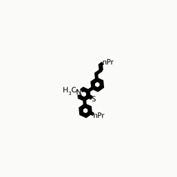 CCCC=CCc1cccc(-c2cn(C)cc(-c3cccc(CCC)c3)c2=S)c1